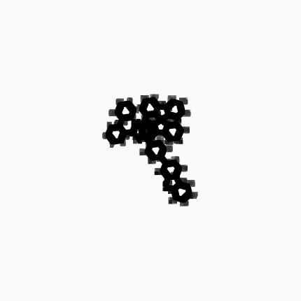 c1ccc(-c2ccccc2-c2nc(-c3ccc(-c4ccc5c(c4)sc4ccccc45)cc3)nc(-c3cccc4c3C3(c5ccccc5-c5ccccc53)c3ccccc3-4)n2)cc1